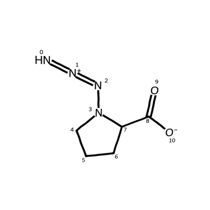 N=[N+]=NN1CCCC1C(=O)[O-]